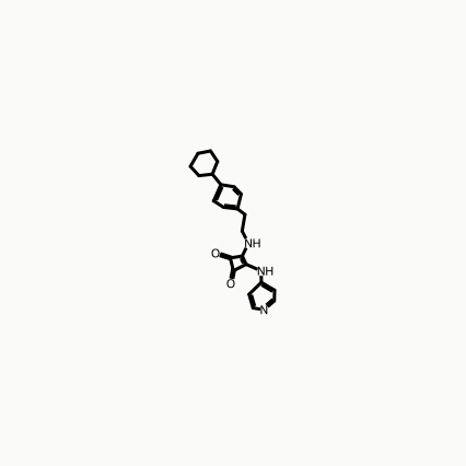 O=c1c(NCCc2ccc(C3CCCCC3)cc2)c(Nc2ccncc2)c1=O